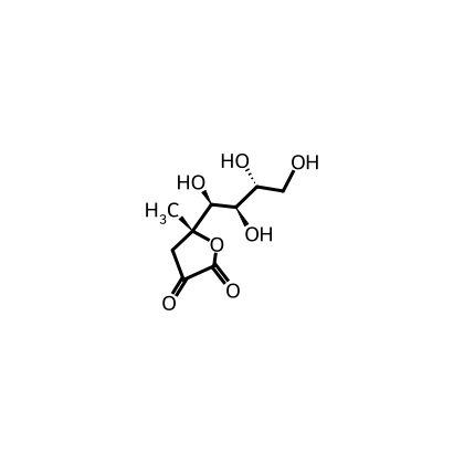 C[C@]1([C@@H](O)[C@H](O)[C@H](O)CO)CC(=O)C(=O)O1